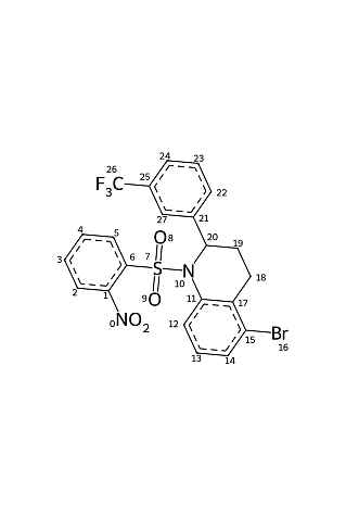 O=[N+]([O-])c1ccccc1S(=O)(=O)N1c2cccc(Br)c2CCC1c1cccc(C(F)(F)F)c1